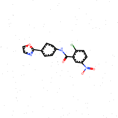 O=C(Nc1ccc(-c2ncco2)cc1)c1cc([N+](=O)[O-])ccc1Cl